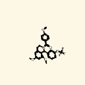 COc1ccc(C(=O)N2CCc3cc(OC)cc(OC)c3C2c2cccc(OC(F)(F)F)c2)cc1